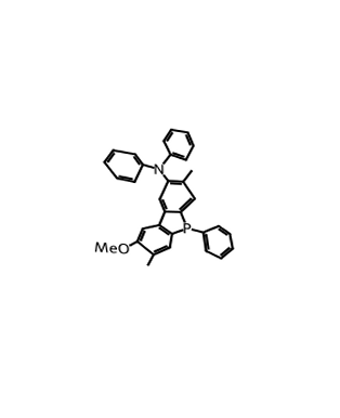 COc1cc2c3cc(N(c4ccccc4)c4ccccc4)c(C)cc3p(-c3ccccc3)c2cc1C